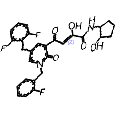 O=C(NC1CCCC1O)/C(O)=C/C(=O)c1cc(Cc2c(F)cccc2F)cn(Cc2ccccc2F)c1=O